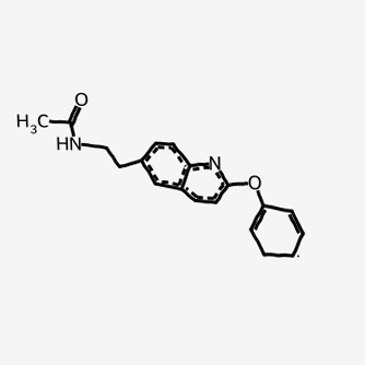 CC(=O)NCCc1ccc2nc(OC3=CC[CH]C=C3)ccc2c1